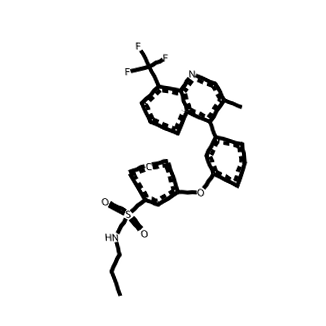 CCCNS(=O)(=O)c1cccc(Oc2cccc(-c3c(C)cnc4c(C(F)(F)F)cccc34)c2)c1